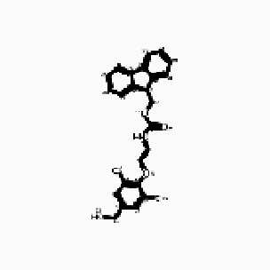 O=C(NCCOc1c(Cl)cc(CO)cc1Cl)OCC1c2ccccc2-c2ccccc21